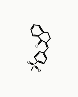 CS(=O)(=O)c1ccc(/C=C2/CCc3ccccc3C2=O)cc1